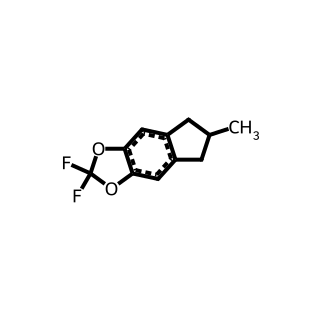 CC1Cc2cc3c(cc2C1)OC(F)(F)O3